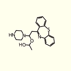 CC(O)OC(CC1=Nc2ccccc2Sc2ccccc21)N1CCNCC1